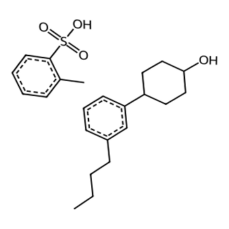 CCCCc1cccc(C2CCC(O)CC2)c1.Cc1ccccc1S(=O)(=O)O